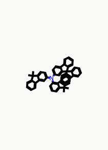 CC1(C)c2ccccc2-c2cc(N(c3ccc4c(c3)C3(c5ccccc5-c5ccccc53)c3ccccc3-4)c3cccc4c3-c3ccccc3C4(C)C)ccc21